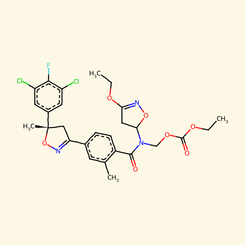 CCOC(=O)OCN(C(=O)c1ccc(C2=NO[C@](C)(c3cc(Cl)c(F)c(Cl)c3)C2)cc1C)C1CC(OCC)=NO1